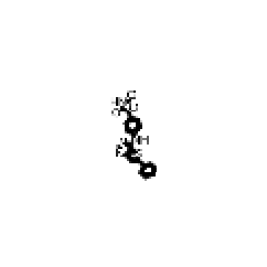 O=C1NC(=O)C(c2ccc(Nc3ncnc4cc(-c5ccccc5)sc34)cc2)O1